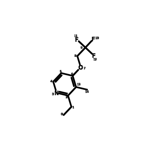 CCc1nccc(OCC(F)(F)F)c1C